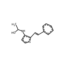 CC(O)Nc1ccsc1C=Cc1ccccc1